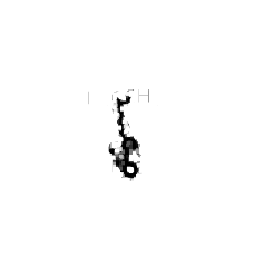 CCC(C)OCCOCc1ccnc(-n2c(SC)nc3ccccc32)c1